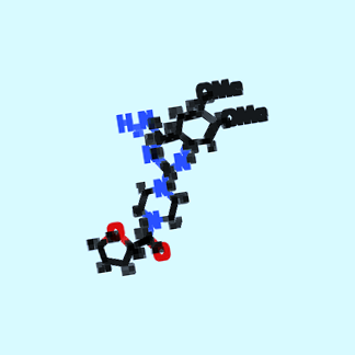 COc1cc2nc(N3CCN(C(=O)[C@H]4CCCO4)CC3)nc(N)c2cc1OC